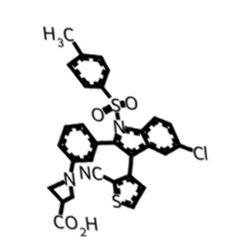 Cc1ccc(S(=O)(=O)n2c(-c3cccc(N4CC(C(=O)O)C4)c3)c(-c3ccsc3C#N)c3cc(Cl)ccc32)cc1